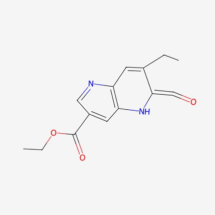 CCOC(=O)c1cnc2c(c1)NC(=C=O)C(CC)=C2